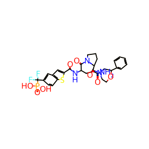 NC(=O)CCC(NC(=O)c1cc2cc(C(F)(F)P(=O)(O)O)ccc2s1)C(=O)N1CCCC1C(=O)N1CCOC(c2ccccc2)C1